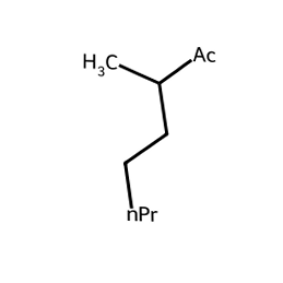 CCCCCC(C)C(C)=O